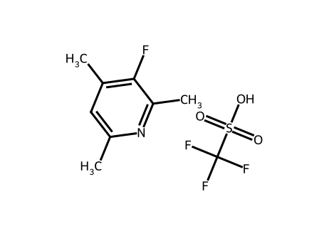 Cc1cc(C)c(F)c(C)n1.O=S(=O)(O)C(F)(F)F